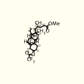 COC(=O)CC[C@@H](C)[C@H]1CC[C@H]2[C@@H]3CC=C4C[C@@H](OC(=O)C(F)(F)F)CC[C@]4(C)[C@H]3CC[C@]12C